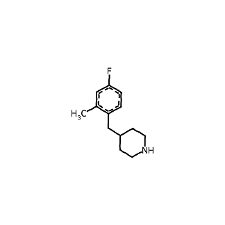 Cc1cc(F)ccc1CC1CCNCC1